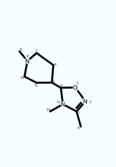 CC1=NOC(C2CCN(C)CC2)N1C